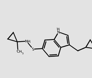 CC1(NSc2ccc3c(CC4CC4)c[nH]c3c2)CC1